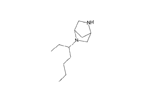 CCCCC(CC)N1CC2CC1CN2